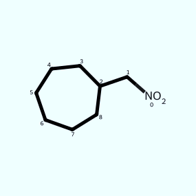 O=[N+]([O-])CC1CCCCCC1